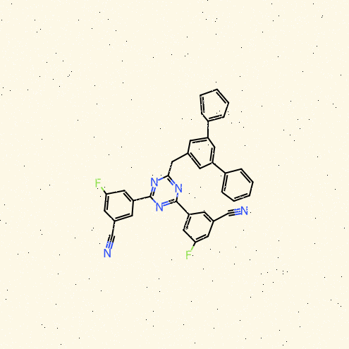 N#Cc1cc(F)cc(-c2nc(Cc3cc(-c4ccccc4)cc(-c4ccccc4)c3)nc(-c3cc(F)cc(C#N)c3)n2)c1